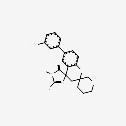 Cc1cccc(-c2ccc3c(c2)C2(CC4(CCCOC4)O3)N=C(N)N(C)C2=O)c1